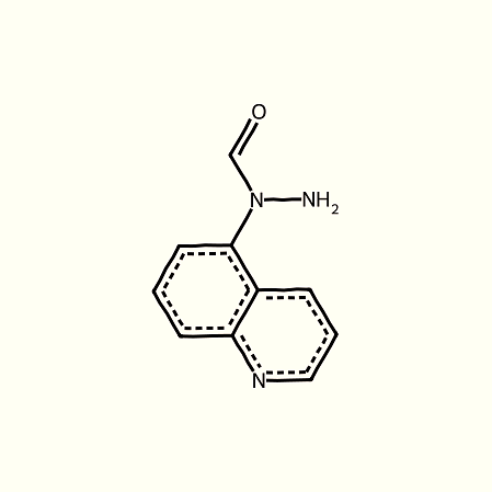 NN(C=O)c1cccc2ncccc12